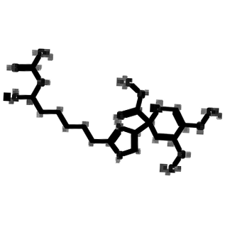 COC(=O)C1(c2csc(CCCCCC(C)OC(C)=O)n2)C=C(OC)C(OC)=CN1